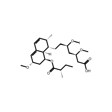 CC[C@H](C)C(=O)O[C@H]1C[C@H](OC)C=C2C=C[C@H](C)[C@H](CC[C@H](C[C@H](CC(=O)O)OC)OI)[C@H]21